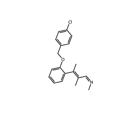 C/N=C\C(C)=C(/C)c1ccccc1OCc1ccc(Cl)cc1